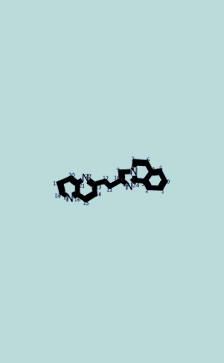 c1ccc2c(c1)ccn1cc(CCc3ccc4ncccc4n3)nc21